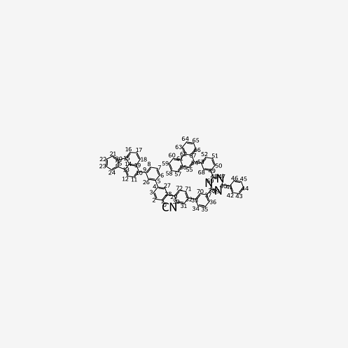 N#Cc1ccc(-c2cccc(-c3ccc4c5c(cccc35)-c3ccccc3-4)c2)cc1-c1ccc(-c2cccc(-c3nc(-c4ccccc4)nc(-c4cccc(-c5cc6ccccc6c6ccccc56)c4)n3)c2)cc1